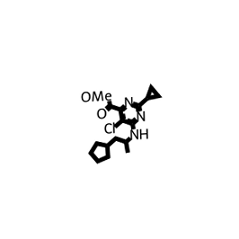 COC(=O)c1nc(C2CC2)nc(NC(C)CC2CCCC2)c1Cl